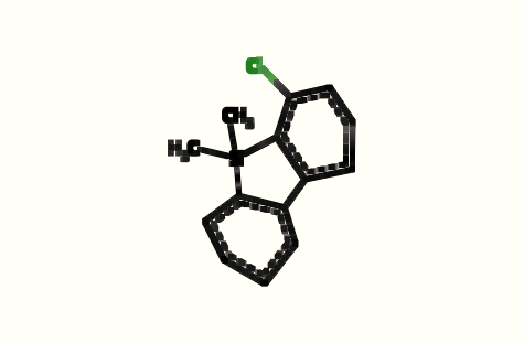 C[Si]1(C)c2ccccc2-c2cccc(Cl)c21